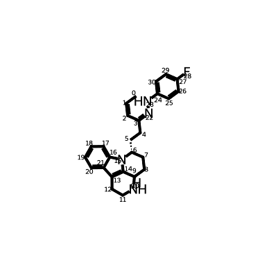 C/C=C\C(CC[C@@H]1CC[C@@H]2NCCc3c2n1c1ccccc31)=N/Nc1ccc(F)cc1